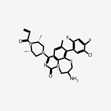 C=CC(=O)N1[C@H](C)CN(c2nc(=O)n3c4c(c(-c5cc(Cl)c(F)cc5F)c(C)cc24)SCC(N)C3)C[C@@H]1C